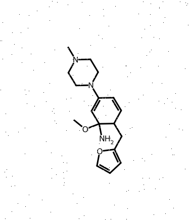 COC1(N)C=C(N2CCN(C)CC2)C=CC1Cc1ccco1